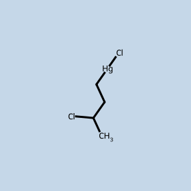 CC(Cl)C[CH2][Hg][Cl]